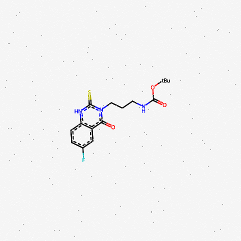 CC(C)(C)OC(=O)NCCCn1c(=S)[nH]c2ccc(F)cc2c1=O